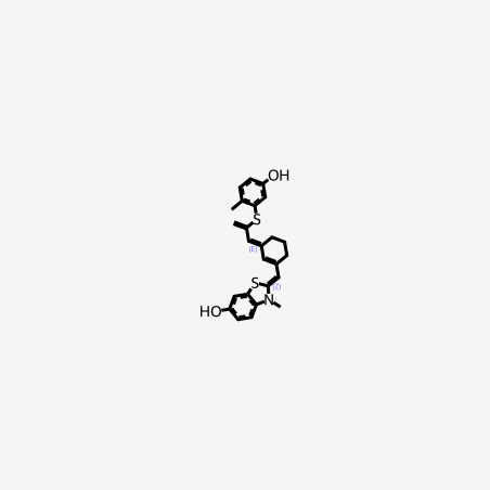 C=C(/C=C1C=C(/C=C2\Sc3cc(O)ccc3N2C)CCC/1)Sc1cc(O)ccc1C